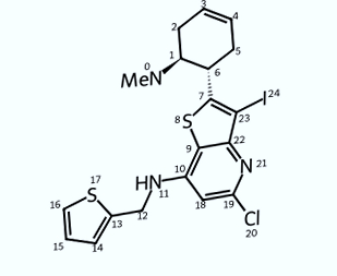 CN[C@H]1CC=CC[C@@H]1c1sc2c(NCc3cccs3)cc(Cl)nc2c1I